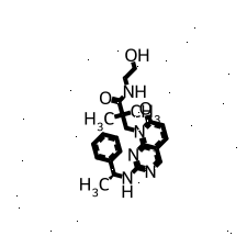 C[C@H](Nc1ncc2ccc(=O)n(CC(C)(C)C(=O)NCCO)c2n1)c1ccccc1